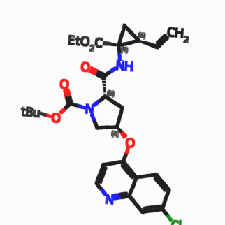 C=C[C@@H]1C[C@]1(NC(=O)[C@@H]1C[C@@H](Oc2ccnc3cc(Cl)ccc23)CN1C(=O)OC(C)(C)C)C(=O)OCC